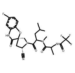 CC(C)CC(C(=O)N1C[C@@]2(C[C@H]1C#N)Oc1ccc(F)cc1NC2=O)N(C)C(=O)C(C)NC(=O)C(F)(F)F